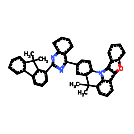 CC1(C)c2ccccc2-c2cccc(-c3nc(-c4ccc5c(c4)C(C)(C)c4cccc6c7oc8ccccc8c7n-5c46)c4ccccc4n3)c21